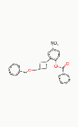 O=C(Oc1ccc([N+](=O)[O-])cc1C1CC(COCc2ccccc2)C1)c1ccccc1